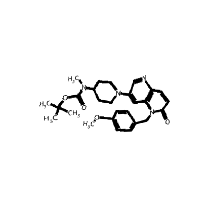 COc1ccc(Cn2c(=O)ccc3ncc(N4CCC(N(C)C(=O)OC(C)(C)C)CC4)cc32)cc1